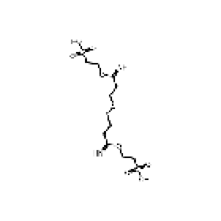 N=C(CCSSCCC(=N)OCCS(=O)(=O)O)OCCS(=O)(=O)O